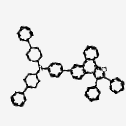 c1ccc(-c2oc3c4ccccc4c4cc(-c5ccc(N(C6CCC(c7ccccc7)CC6)C6CCC(c7ccccc7)CC6)cc5)ccc4c3c2-c2ccccc2)cc1